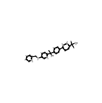 CC(C)C(C)(c1ccc(-c2ccc(C(C)(C)O)nn2)cc1)c1ccc(OCc2ccccn2)cn1